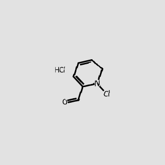 Cl.O=CC1=CC=CCN1Cl